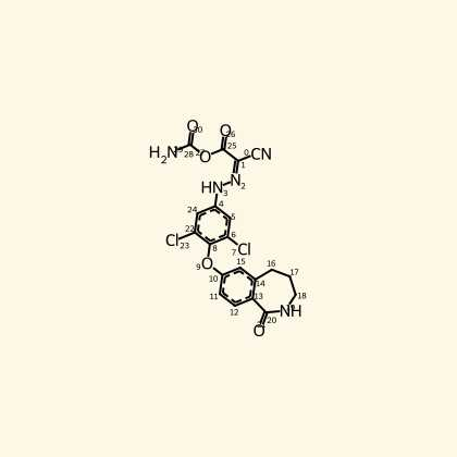 N#CC(=NNc1cc(Cl)c(Oc2ccc3c(c2)CCCNC3=O)c(Cl)c1)C(=O)OC(N)=O